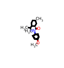 COc1ccc(NC(=O)[C@@H]2CC(C)CCC2C(C)C)cc1